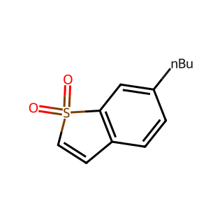 CCCCc1ccc2c(c1)S(=O)(=O)C=C2